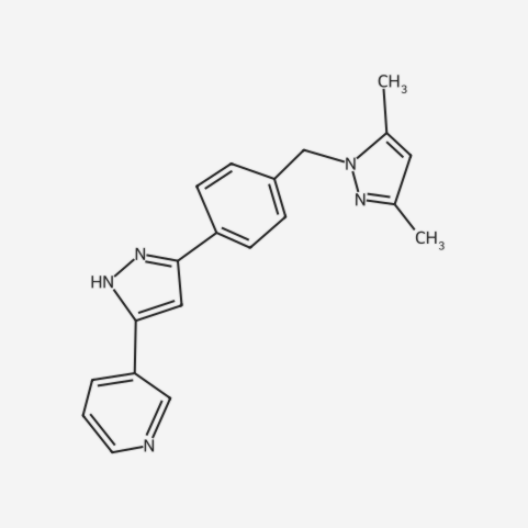 Cc1cc(C)n(Cc2ccc(-c3cc(-c4cccnc4)[nH]n3)cc2)n1